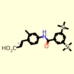 Cc1cc(NC(=O)c2cc([Si](C)(C)C)cc([Si](C)(C)C)c2)ccc1/C=C/C(=O)O